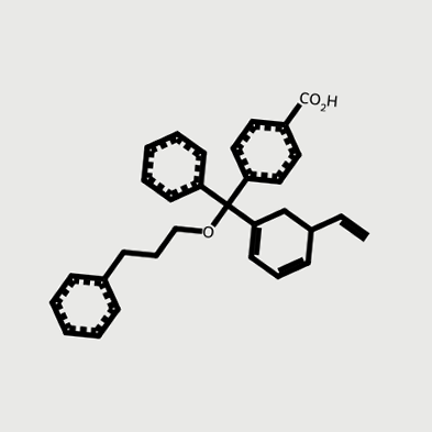 C=CC1C=CC=C(C(OCCCc2ccccc2)(c2ccccc2)c2ccc(C(=O)O)cc2)C1